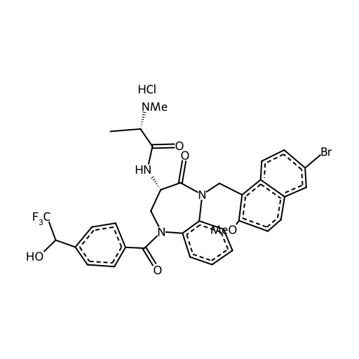 CN[C@@H](C)C(=O)N[C@H]1CN(C(=O)c2ccc(C(O)C(F)(F)F)cc2)c2ccccc2N(Cc2c(OC)ccc3cc(Br)ccc23)C1=O.Cl